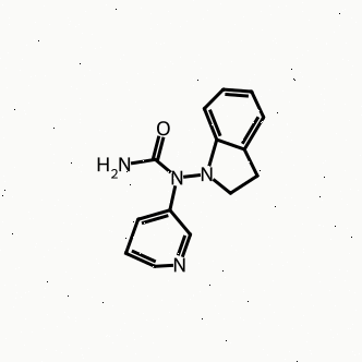 NC(=O)N(c1cccnc1)N1CCc2ccccc21